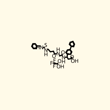 O=C(O)C(F)(F)F.O=C(O)CC(NC(=O)CNC(=O)CCCNC(=S)NCc1ccccc1)c1ccc(-c2ccccc2)cc1